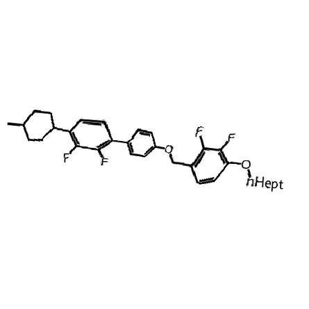 CCCCCCCOc1ccc(COc2ccc(-c3ccc(C4CCC(C)CC4)c(F)c3F)cc2)c(F)c1F